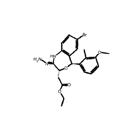 CCOC(=O)C[C@H]1O[C@H](c2cccc(OC)c2C)c2cc(Br)ccc2N/C1=N\N